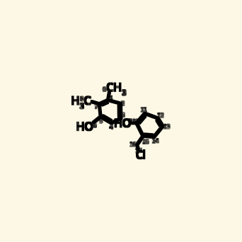 Cc1cccc(O)c1C.Oc1ccccc1CCl